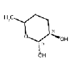 CC1CC[C@@H](O)[C@H](O)O1